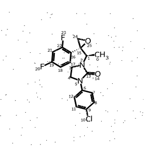 C[C@@H](N1CCN(c2ccc(Cl)cc2)C1=O)[C@@]1(c2ccc(F)cc2F)CO1